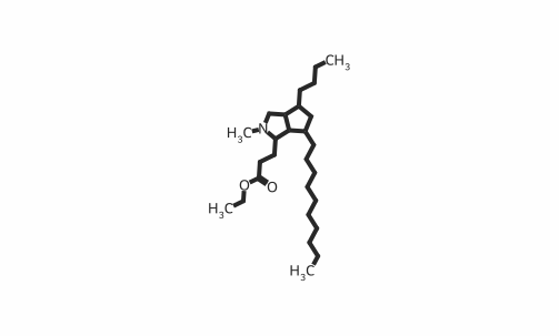 CCCCCCCCCCC1CC(CCCC)C2CN(C)C(CCC(=O)OCC)C12